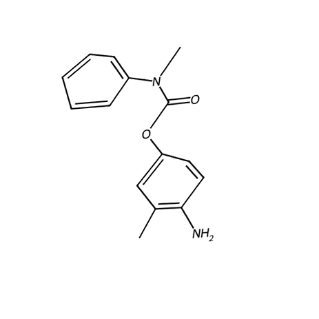 Cc1cc(OC(=O)N(C)c2ccccc2)ccc1N